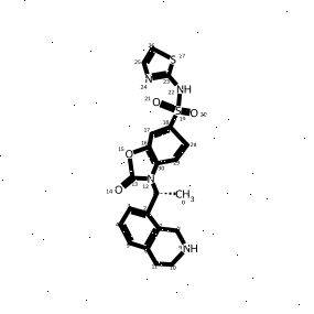 C[C@H](c1cccc2c1CNCC2)n1c(=O)oc2cc(S(=O)(=O)Nc3nccs3)ccc21